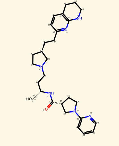 O=C(N[C@@H](CCN1CC[C@@H](CCc2ccc3c(n2)NCCC3)C1)C(=O)O)[C@@H]1CCN(c2ccccn2)C1